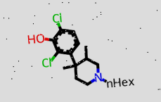 CCCCCCN1CCC(C)(c2ccc(Cl)c(O)c2Cl)C(C)C1